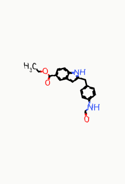 CCOC(=O)c1ccc2[nH]c(Cc3ccc(NC=O)cc3)cc2c1